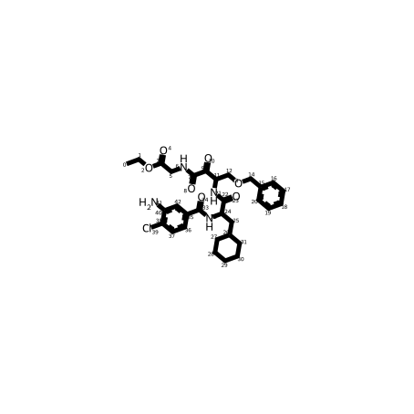 CCOC(=O)CNC(=O)C(=O)C(COCc1ccccc1)NC(=O)C(CC1CCCCC1)NC(=O)c1ccc(Cl)c(N)c1